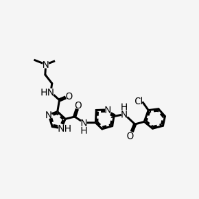 CN(C)CCNC(=O)c1nc[nH]c1C(=O)Nc1ccc(NC(=O)c2ccccc2Cl)nc1